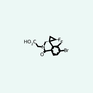 O=C(O)CN1C[C@@]2(C[C@@H]2F)c2c(ccc(Br)c2F)C1=O